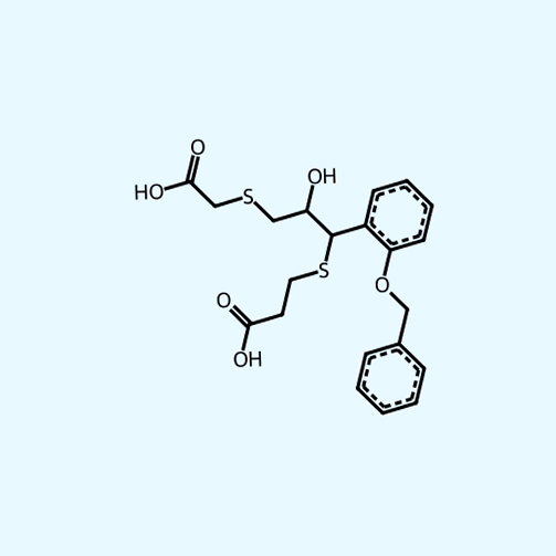 O=C(O)CCSC(c1ccccc1OCc1ccccc1)C(O)CSCC(=O)O